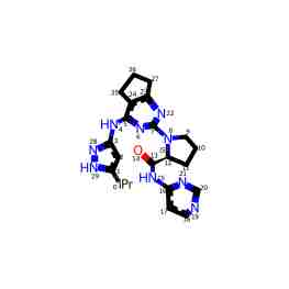 CC(C)c1cc(Nc2nc(N3CCC[C@H]3C(=O)Nc3ccncn3)nc3c2CCC3)n[nH]1